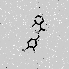 Cc1ncncc1C(=O)NCc1ccc(N)c(I)c1